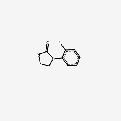 O=C1[N]CCN1c1ccccc1F